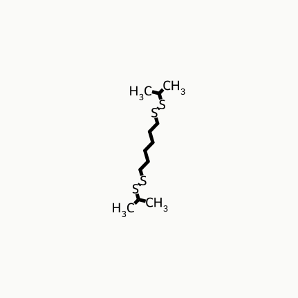 CC(C)SSCCCCCCSSC(C)C